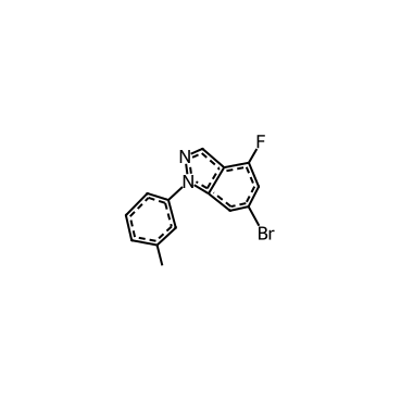 Cc1cccc(-n2ncc3c(F)cc(Br)cc32)c1